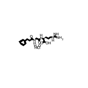 Cl.N=C(N)NCCC[C@H](NC(=O)CNC(=O)CCc1ccccc1)C(=O)O.O